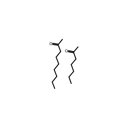 CCCCCC(C)=O.CCCCCCCC(C)=O